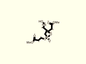 COC(=O)CCOP(=O)(CCCNO)OCCC(=O)OC